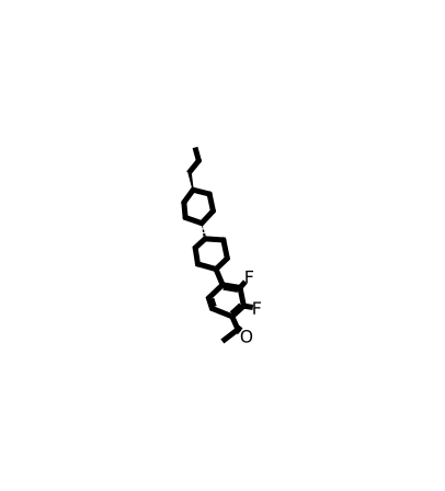 CCC[C@H]1CC[C@H](C2CCC(c3ccc(C(C)=O)c(F)c3F)CC2)CC1